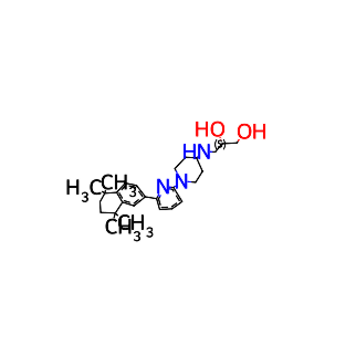 CC1(C)CCC(C)(C)c2cc(-c3cccc(N4CCC(NC[C@H](O)CO)CC4)n3)ccc21